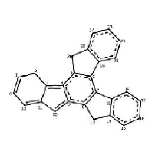 C1=CCC2=c3c4c(c5c(c3=CC2=C1)Cc1ccccc1-5)-c1ccccc1C4